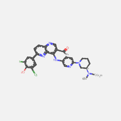 CC(C)C(=O)c1cnc2ccc(-c3cc(F)c(O)c(Cl)c3)nc2c1Nc1ccc(N2CCC[C@@H](N(C(=O)O)C(C)(C)C)C2)nc1